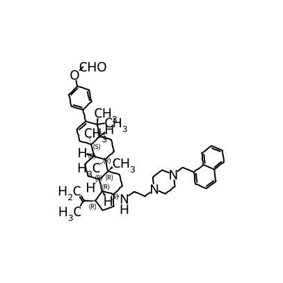 C=C(C)[C@@H]1CC[C@]2(NCCN3CCN(Cc4cccc5ccccc45)CC3)CC[C@]3(C)[C@H](CC[C@@H]4[C@@]5(C)CC=C(c6ccc(OC=O)cc6)C(C)(C)[C@@H]5CC[C@]43C)[C@@H]12